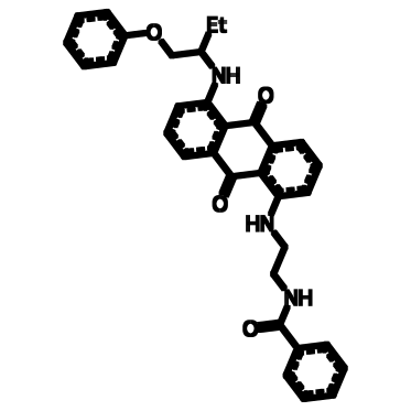 CCC(COc1ccccc1)Nc1cccc2c1C(=O)c1cccc(NCCNC(=O)c3ccccc3)c1C2=O